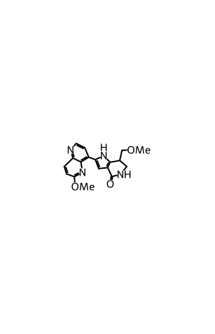 COCC1CNC(=O)c2cc(-c3ccnc4ccc(OC)nc34)[nH]c21